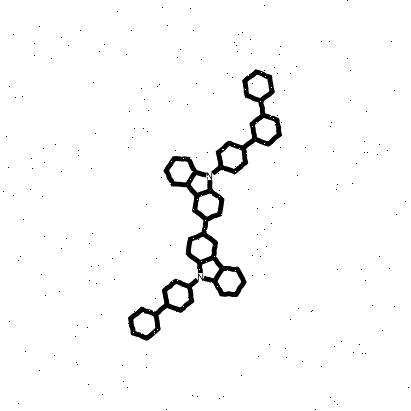 C1CCC(C2CCC(N3C4CCCCC4C4CC(C5CCC6C(C5)C5CCCCC5N6C5CCC(C6CCCC(C7CCCCC7)C6)CC5)CCC43)CC2)CC1